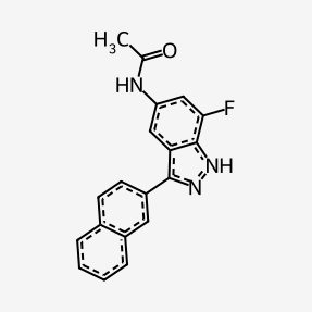 CC(=O)Nc1cc(F)c2[nH]nc(-c3ccc4ccccc4c3)c2c1